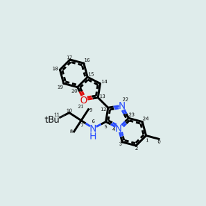 Cc1ccn2c(NC(C)(C)CC(C)(C)C)c(-c3cc4ccccc4o3)nc2c1